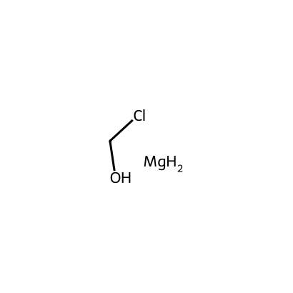 OCCl.[MgH2]